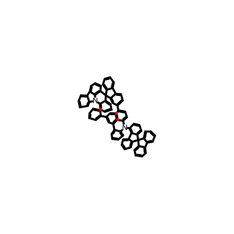 c1ccc(-c2cccc(-c3ccccc3N(c3ccc(-c4ccc5c(c4)C4(c6ccccc6-5)c5ccccc5-n5c6ccccc6c6cccc4c65)cc3)c3cccc4c3-c3ccccc3C43c4ccccc4-c4ccccc43)c2)cc1